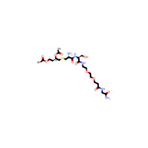 CC(C)C(=O)OCC[C@H](CSC[C@H](N)C(=O)N[C@@H](CO)C(=O)NCCOCCOCCC(=O)NCC(N)=O)OC(=O)C(C)C